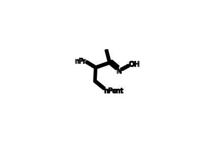 CCCCCCC(CCC)C(C)=NO